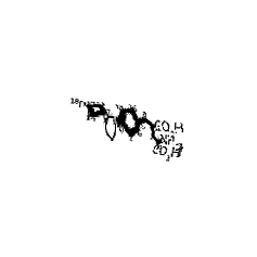 NC(CC(Cc1ccc(OC2CC([18F])C2)cc1)C(=O)O)C(=O)O